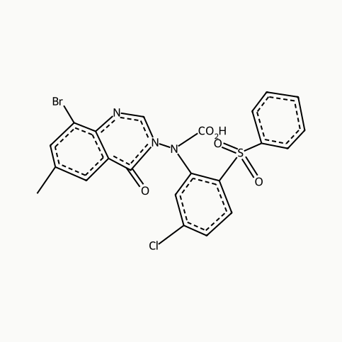 Cc1cc(Br)c2ncn(N(C(=O)O)c3cc(Cl)ccc3S(=O)(=O)c3ccccc3)c(=O)c2c1